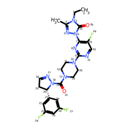 CCn1c(C)nn(-c2nc(N3CCN(C(=O)N4N=CC[C@H]4c4cc(F)cc(F)c4)CC3)ncc2F)c1=O